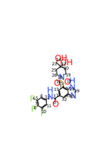 O=C(Nc1cc(F)c(F)c(F)c1)c1cc(S(=O)(=O)N2CCC(O)(CO)CC2)c2[nH]cnc2c1